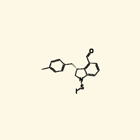 Cc1ccc(C[C@H]2CN(SI)c3cccc(C=O)c32)cc1